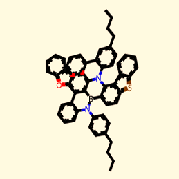 CCCCc1ccc(N2B3c4ccc5sc6ccccc6c5c4N(c4ccc(CCCC)cc4-c4ccccc4)c4cc5c(oc6ccccc65)c(c43)-c3ccccc32)cc1